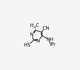 C.CC(C)Nc1nc(S)ncc1C#N